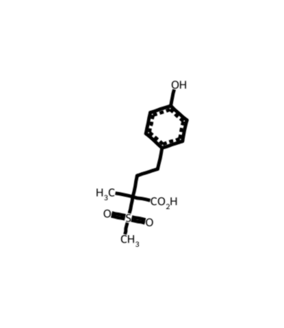 CC(CCc1ccc(O)cc1)(C(=O)O)S(C)(=O)=O